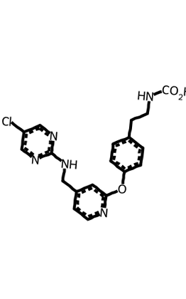 O=C(O)NCCc1ccc(Oc2cc(CNc3ncc(Cl)cn3)ccn2)cc1